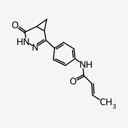 CC=CC(=O)Nc1ccc(C2=NNC(=O)C3CC23)cc1